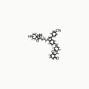 N#Cc1ccc(-c2cn(CCCNC(=O)C3(N)CCNCC3)c3ccc(CN4CCN(Cc5c(Cl)cccc5Cl)CC4)cc23)cc1